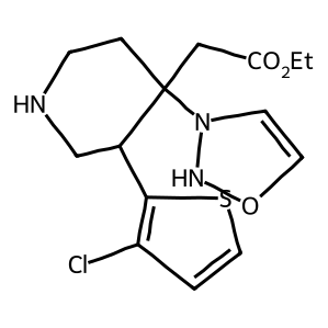 CCOC(=O)CC1(N2C=CON2)CCNCC1c1sccc1Cl